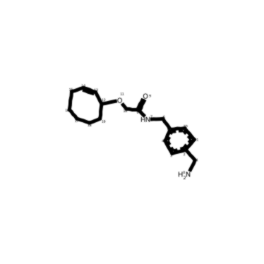 NCc1ccc(CNC(=O)COC2/C=C\CCCCC2)cc1